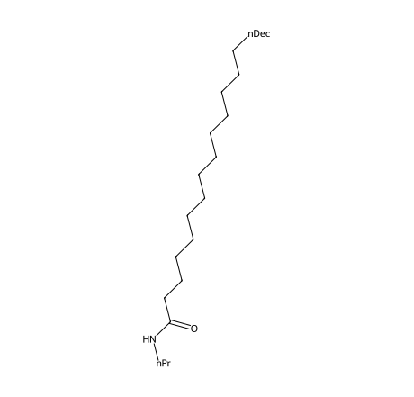 [CH2]CCNC(=O)CCCCCCCCCCCCCCCCCCCCCCC